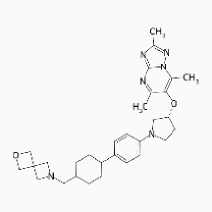 Cc1nc2nc(C)c(O[C@@H]3CCN(c4ccc(C5CCC(CN6CC7(COC7)C6)CC5)cc4)C3)c(C)n2n1